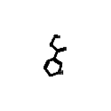 CC(C)(C)OC(=O)C1=CNCC=C1